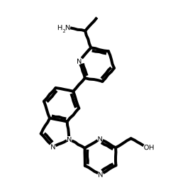 CC(N)c1cccc(-c2ccc3cnn(-c4cncc(CO)n4)c3c2)n1